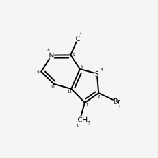 Cc1c(Br)sc2c(Cl)nccc12